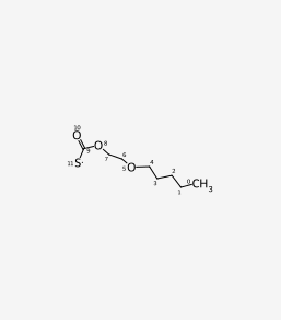 CCCCCOCCOC(=O)[S]